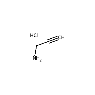 C#CCN.Cl